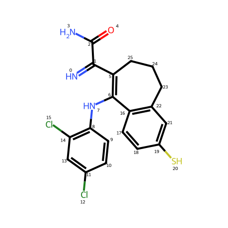 N=C(C(N)=O)C1=C(Nc2ccc(Cl)cc2Cl)c2ccc(S)cc2CCC1